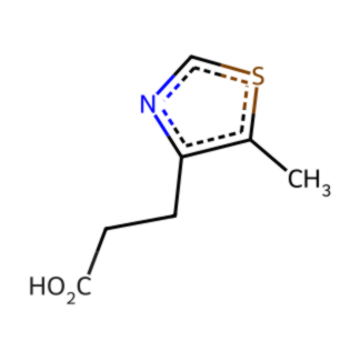 Cc1scnc1CCC(=O)O